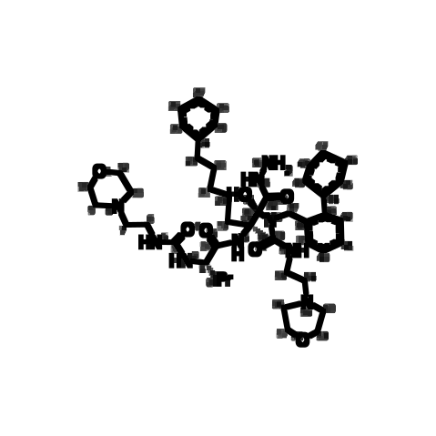 CC(C)[C@H](NC(=O)NCCN1CCOCC1)C(=O)N[C@@](C)(CCCCCc1ccccc1)[C@](O)(C(=O)NN)N(Cc1ccccc1-c1ccccc1)C(=O)NCCN1CCOCC1